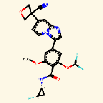 COc1cc(-c2cnc3cc(C4(C#N)COC4)ccn23)cc(OC(F)F)c1C(=O)N[C@@H]1C[C@@H]1F